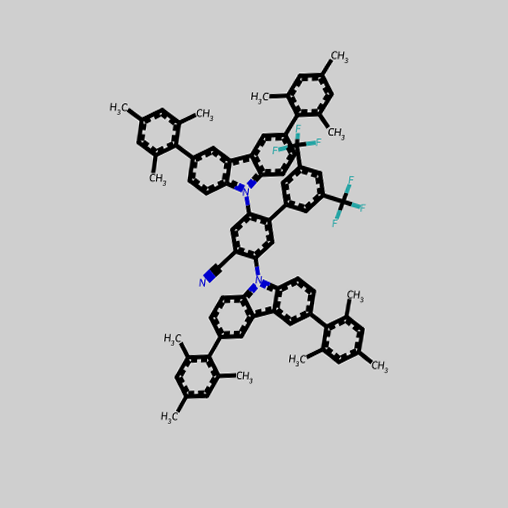 Cc1cc(C)c(-c2ccc3c(c2)c2cc(-c4c(C)cc(C)cc4C)ccc2n3-c2cc(-c3cc(C(F)(F)F)cc(C(F)(F)F)c3)c(-n3c4ccc(-c5c(C)cc(C)cc5C)cc4c4cc(-c5c(C)cc(C)cc5C)ccc43)cc2C#N)c(C)c1